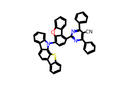 N#Cc1c(-c2ccccc2)nc(-c2ccc(-n3c4ccccc4c4ccc5c6ccccc6sc5c43)c3oc4ccccc4c23)nc1-c1ccccc1